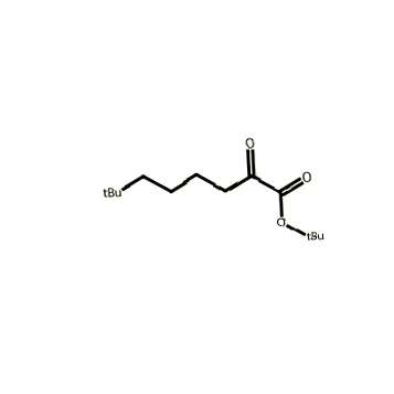 CC(C)(C)CCCCC(=O)C(=O)OC(C)(C)C